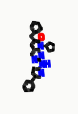 O=c1c(Cc2ccccc2)cc2cnc(Nc3ccc(-c4ccccc4)cn3)nc2n1C1CCCC1